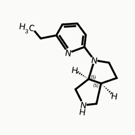 CCc1cccc(N2CC[C@H]3CNC[C@H]32)n1